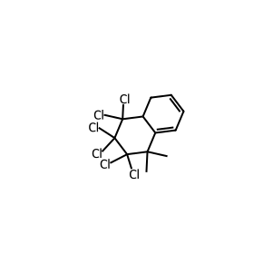 CC1(C)C2=CC=CCC2C(Cl)(Cl)C(Cl)(Cl)C1(Cl)Cl